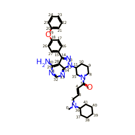 CN(CC=CC(=O)N1CCCC(n2nc(-c3ccc(Oc4ccccc4)cc3)c3c(N)ncnc32)C1)C1CCCCC1